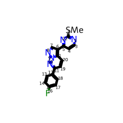 CSc1nccc(-c2cnn3nc(-c4ccc(F)cc4)ccc23)n1